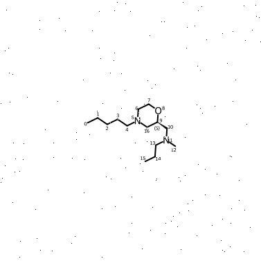 CCCCCN1CCO[C@@H](CN(C)CCC)C1